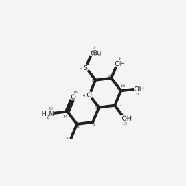 CC(CC1OC(SC(C)(C)C)C(O)C(O)C1O)C(N)=O